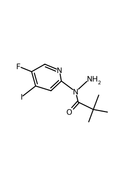 CC(C)(C)C(=O)N(N)c1cc(I)c(F)cn1